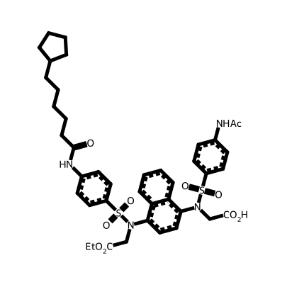 CCOC(=O)CN(c1ccc(N(CC(=O)O)S(=O)(=O)c2ccc(NC(C)=O)cc2)c2ccccc12)S(=O)(=O)c1ccc(NC(=O)CCCCCC2CCCC2)cc1